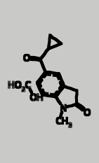 CN1C(=O)Cc2cc(C(=O)C3CC3)ccc21.O=C(O)O